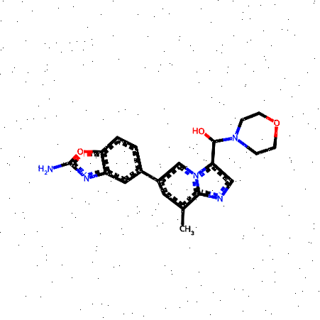 Cc1cc(-c2ccc3oc(N)nc3c2)cn2c(C(O)N3CCOCC3)cnc12